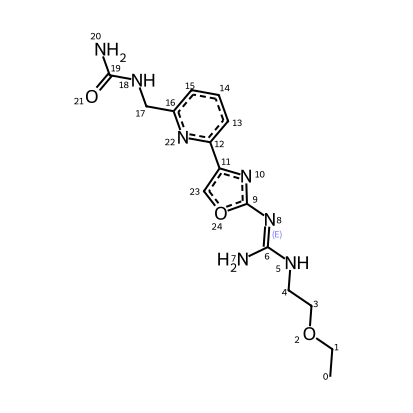 CCOCCN/C(N)=N/c1nc(-c2cccc(CNC(N)=O)n2)co1